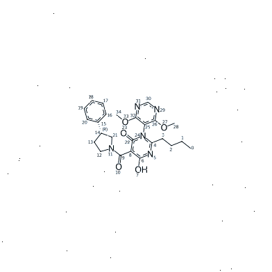 CCCCc1nc(O)c(C(=O)N2CC[C@H](c3ccccc3)C2)c(=O)n1-c1c(OC)ncnc1OC